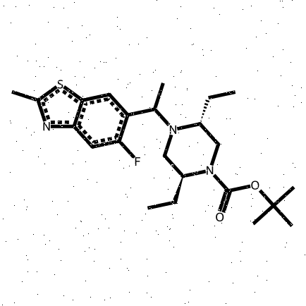 CC[C@H]1CN(C(C)c2cc3sc(C)nc3cc2F)[C@H](CC)CN1C(=O)OC(C)(C)C